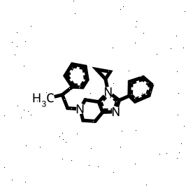 CC(CN1CCc2nc(-c3ccccc3)n(C3CC3)c2C1)c1ccccc1